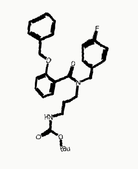 CC(C)(C)OC(=O)NCCCN(Cc1ccc(F)cc1)C(=O)c1ccccc1OCc1ccccc1